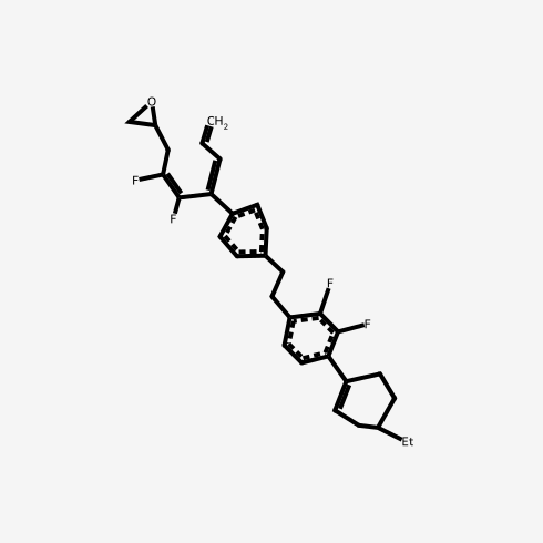 C=C/C=C(\C(F)=C(\F)CC1CO1)c1ccc(CCc2ccc(C3=CCC(CC)CC3)c(F)c2F)cc1